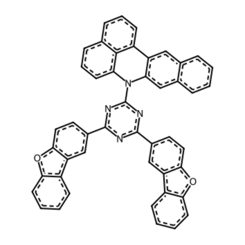 c1ccc2cc3c(cc2c1)-c1cccc2cccc(c12)N3c1nc(-c2ccc3oc4ccccc4c3c2)nc(-c2ccc3oc4ccccc4c3c2)n1